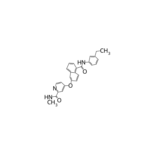 CCc1cccc(NC(=O)c2cccc3cc(Oc4ccnc(C(=O)NC)c4)ccc23)c1